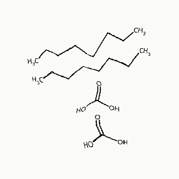 CCCCCCCC.CCCCCCCC.O=C(O)O.O=C(O)O